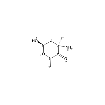 CC1O[C@@H](O)C[C@@](C)(N)C1=O